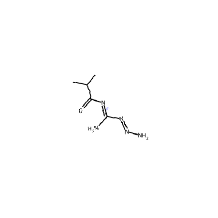 CC(C)C(=O)/N=C(\N)N=NN